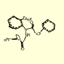 CCCOC(=O)NN(C(=O)Oc1ccccc1)c1ccccc1OC